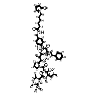 CC[C@H](C)[C@@H]([C@@H](CC(=O)N1CCC[C@H]1[C@H](OC)[C@@H](C)C(=O)N[C@H](CCc1ccccc1)C(=O)Nc1ccc(CNC(=O)CCCCCN2CC=CC2=O)cc1)OC)N(C)C(=O)[C@@H](N=C(N(C)C)N(C)C)C(C)C